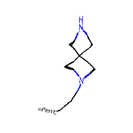 CCCCCCN1CC2(CNC2)C1